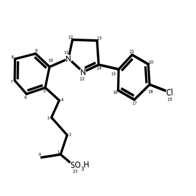 CC(CCCc1ccccc1N1CCC(c2ccc(Cl)cc2)=N1)S(=O)(=O)O